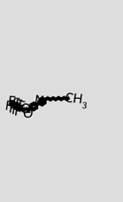 CCCCCCCCCc1ccc(-c2ccc(C(=O)OCC(F)(F)C(F)(F)C(F)(F)C(F)F)cc2)nc1